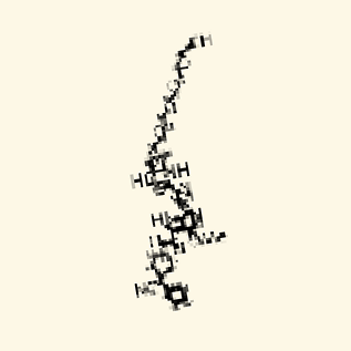 C#CCOCCOCCOCCOCCN1C[C@@H](O)[C@H](NC(=O)c2ncn(-c3ncc(OC)c4c(C(=O)C(=O)N5CCC(=C(C#N)c6ccccc6)CC5)c[nH]c34)n2)C1